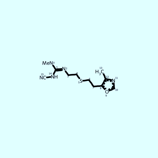 CN/C(=N/CCSCCc1ocnc1C)NC#N